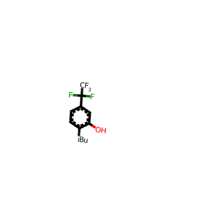 CCC(C)c1ccc(C(F)(F)C(F)(F)F)cc1O